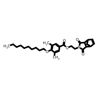 CCCCCCCCCCOc1c(C)cc(C(=O)OCCN2C(=O)C3C4C=CC(C4)C3C2=O)cc1C